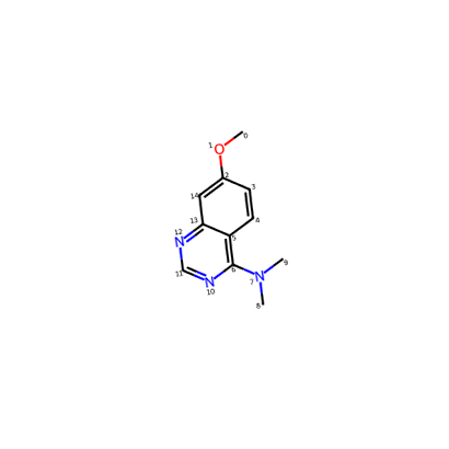 COc1ccc2c(N(C)C)ncnc2c1